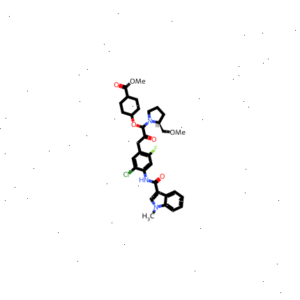 COC[C@@H]1CCCN1C(OC1CCC(C(=O)OC)CC1)C(=O)Cc1cc(Cl)c(NC(=O)c2cn(C)c3ccccc23)cc1F